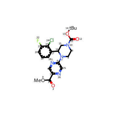 COC(=O)c1cnc(N2CCN(C(=O)OC(C)(C)C)CC2c2cccc(F)c2Cl)cn1